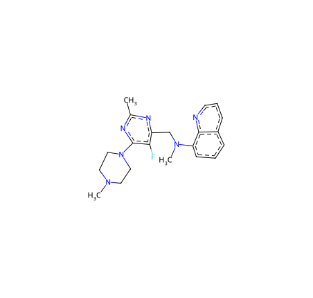 Cc1nc(CN(C)c2cccc3cccnc23)c(F)c(N2CCN(C)CC2)n1